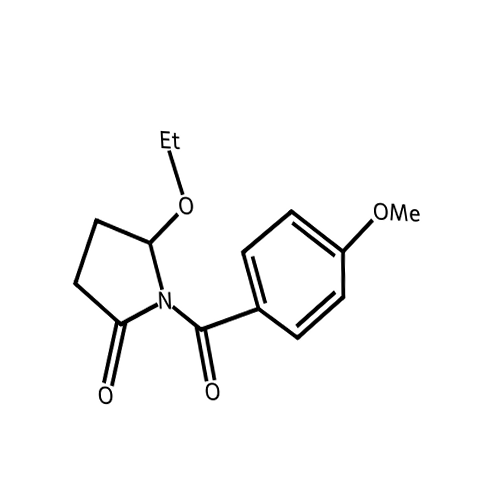 CCOC1CCC(=O)N1C(=O)c1ccc(OC)cc1